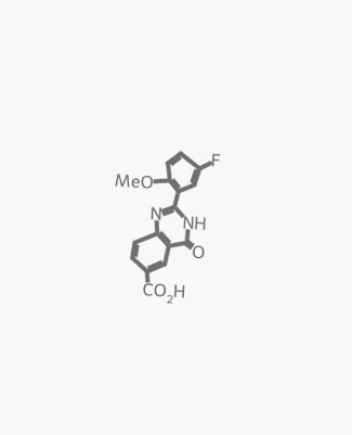 COc1ccc(F)cc1-c1nc2ccc(C(=O)O)cc2c(=O)[nH]1